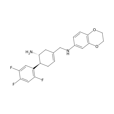 N[C@@H]1CC(CNc2ccc3c(c2)OCCO3)=CC[C@H]1c1cc(F)c(F)cc1F